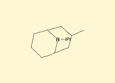 CC1CC2CCCC(C1)B2C(C)C